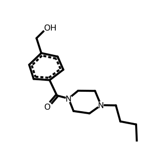 CCCCN1CCN(C(=O)c2ccc(CO)cc2)CC1